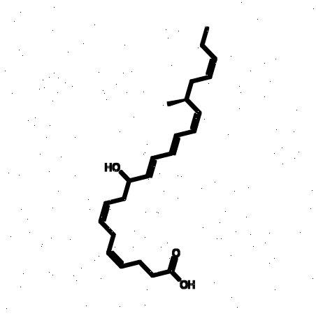 CC/C=C\C[C@H](C)\C=C/C=C/C=C/C(O)C/C=C\C/C=C\CCC(=O)O